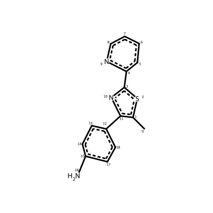 Cc1sc(-c2ccccn2)nc1-c1ccc(N)cc1